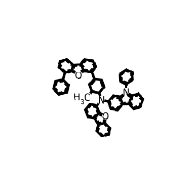 CC1C=C(c2cccc3c2oc2c(-c4ccccc4)cccc23)C=CC1N(c1ccc2c3ccccc3n(-c3ccccc3)c2c1)c1cccc2c1oc1ccccc12